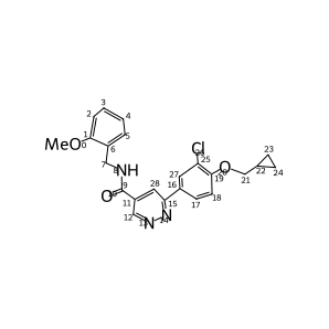 COc1ccccc1CNC(=O)c1cnnc(-c2ccc(OCC3CC3)c(Cl)c2)c1